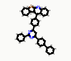 c1ccc(-c2ccc(-c3cc(-c4ccc(-c5c6ccccc6nc6sc7ccccc7c56)cc4)nc(-c4ccccc4)n3)cc2)cc1